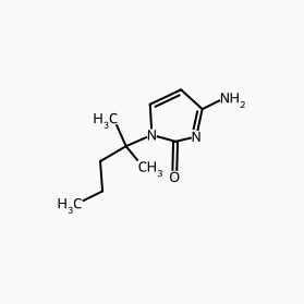 CCCC(C)(C)n1ccc(N)nc1=O